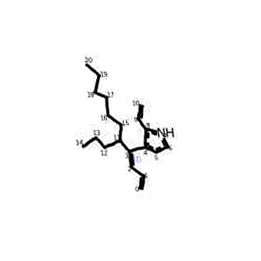 C=C/C=C(\c1cc[nH]c1C=C)C(CCC)CCCCCC